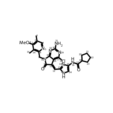 COc1c(C)cnc(CN2C(=O)/C(=C/c3nc(NC(=O)C4CCCC4)c[nH]3)c3c(Cl)nc(N)nc32)c1C